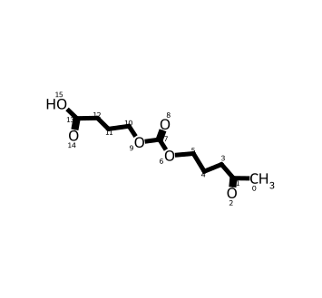 CC(=O)CCCOC(=O)OCCCC(=O)O